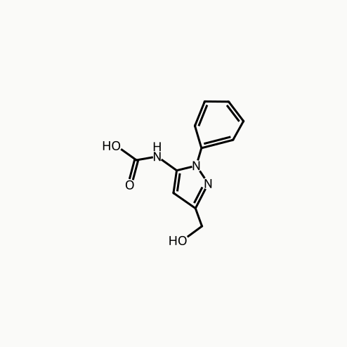 O=C(O)Nc1cc(CO)nn1-c1ccccc1